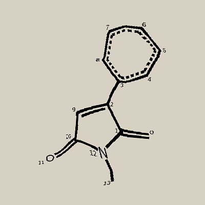 C=C1C(c2ccccc2)=CC(=O)N1C